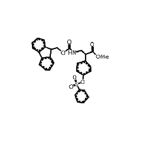 COC(=O)C(CNC(=O)OCC1c2ccccc2-c2ccccc21)c1ccc(OS(=O)(=O)c2ccccc2)cc1